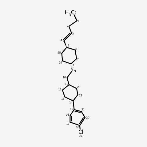 CCC/C=C/[C@H]1CC[C@H](CCC2CCC(c3ccc(Cl)cc3)CC2)CC1